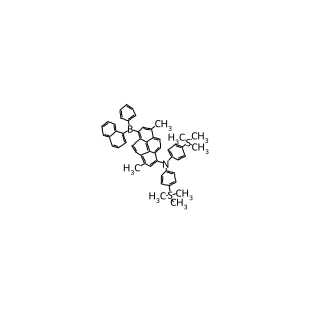 Cc1cc(B(c2ccccc2)c2cccc3ccccc23)c2ccc3c(C)cc(N(c4ccc(S(C)(C)C)cc4)c4ccc(S(C)(C)C)cc4)c4ccc1c2c34